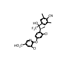 Cc1cc([C@@](O)([C@@H](C)c2ccc(Oc3ncc(C(=O)O)cc3Cl)cc2Cl)C(F)(F)F)cc(C)c1C#N